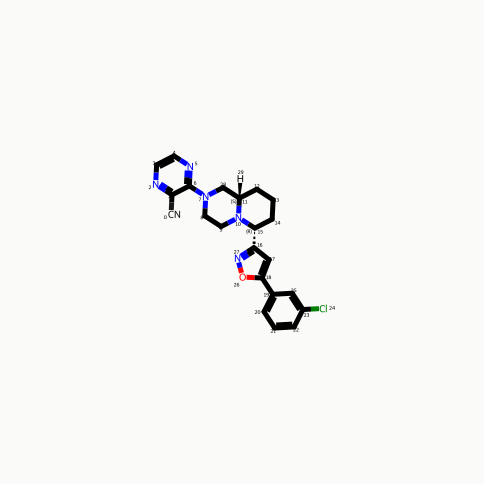 N#Cc1nccnc1N1CCN2[C@@H](CCC[C@@H]2c2cc(-c3cccc(Cl)c3)on2)C1